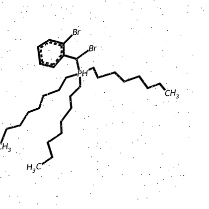 CCCCCCCC[PH](CCCCCCCC)(CCCCCCCC)C(Br)c1ccccc1Br